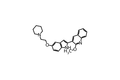 COc1nc2ccccc2cc1-c1cc2cc(OCCN3CCCCC3)ccc2[nH]1